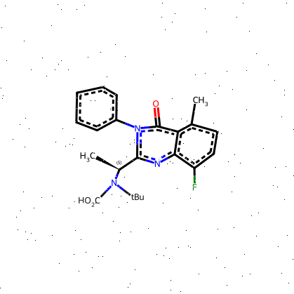 Cc1ccc(F)c2nc([C@H](C)N(C(=O)O)C(C)(C)C)n(-c3ccccc3)c(=O)c12